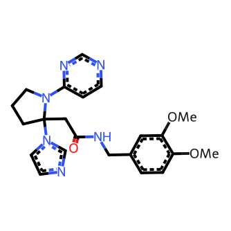 COc1ccc(CNC(=O)CC2(n3ccnc3)CCCN2c2ccncn2)cc1OC